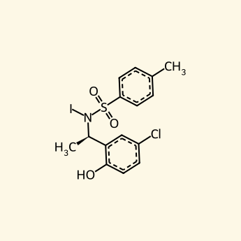 Cc1ccc(S(=O)(=O)N(I)[C@H](C)c2cc(Cl)ccc2O)cc1